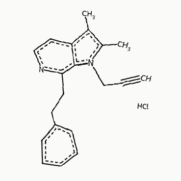 C#CCn1c(C)c(C)c2ccnc(CCc3ccccc3)c21.Cl